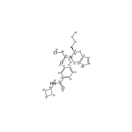 CCCC[C@H]1Cc2ccsc2[C@H](c2ccc(C(=O)NC3CCC3)cc2)N1C(=O)CCl